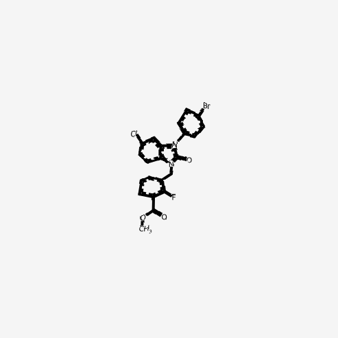 COC(=O)c1cccc(Cn2c(=O)n(-c3ccc(Br)cc3)c3cc(Cl)ccc32)c1F